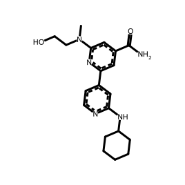 CN(CCO)c1cc(C(N)=O)cc(-c2ccnc(NC3CCCCC3)c2)n1